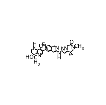 Cc1c(-c2cc3cc(Nc4cc5n(n4)CC(=O)N(C)CC54CC4)ncc3cc2F)cnc2c1NCC[C@@]2(C)O